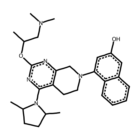 CC(CN(C)C)Oc1nc2c(c(N3C(C)CCC3C)n1)CCN(c1cc(O)cc3ccccc13)C2